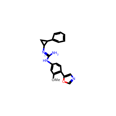 COc1cc(N/C(N)=N/C2CC2c2ccccc2)ccc1-c1cnco1